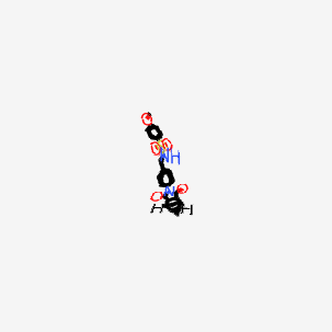 COc1ccc(S(=O)(=O)NCc2ccc(N3C(=O)C4C(C3=O)[C@@H]3C=CC4[C@H]4CC34)cc2)cc1